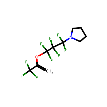 C=C(OC(F)(F)C(F)(F)C(F)(F)N1CCCC1)C(F)(F)F